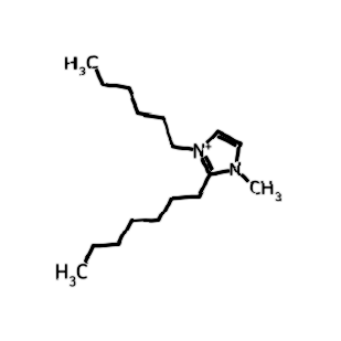 CCCCCCCc1n(C)cc[n+]1CCCCCC